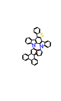 c1ccc(-n2c3ccccc3c3c4sc5ccccc5c4c4c5ccccc5n(-c5ccc6c7ccccc7c7ccccc7c6c5)c4c32)cc1